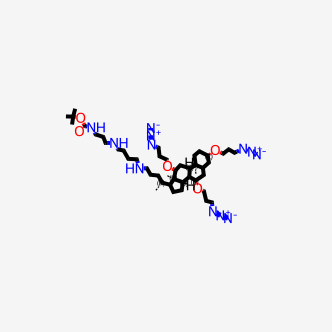 C[C@H](CCCNCCCCNCCCNC(=O)OC(C)(C)C)C1CC[C@H]2C3[C@H](OCCCN=[N+]=[N-])CC4C[C@H](OCCCN=[N+]=[N-])CC[C@]4(C)[C@H]3CC(OCCCN=[N+]=[N-])[C@]12C